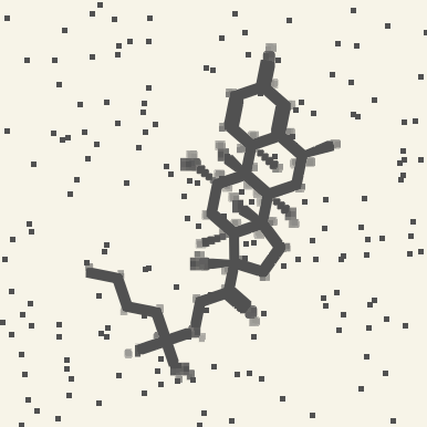 CCCCC(N)(I)OCC(=O)[C@@]1(O)CC[C@H]2[C@@H]3C[C@H](C)C4=CC(=O)C=C[C@]4(C)[C@H]3[C@@H](O)C[C@@]21C